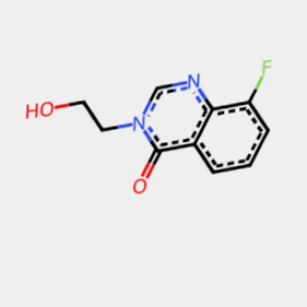 O=c1c2cccc(F)c2ncn1CCO